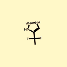 CC(F)(F)C1=CNNN1